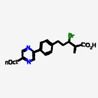 CCCCCCCCc1cnc(-c2ccc(CCC(Br)C(C)C(=O)O)cc2)cn1